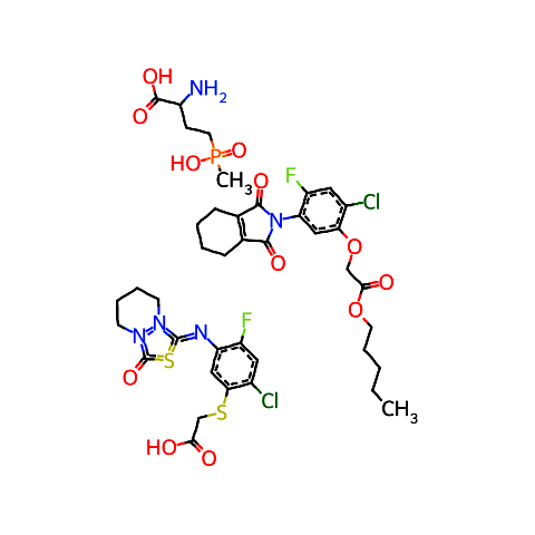 CCCCCOC(=O)COc1cc(N2C(=O)C3=C(CCCC3)C2=O)c(F)cc1Cl.CP(=O)(O)CCC(N)C(=O)O.O=C(O)CSc1cc(N=c2sc(=O)n3n2CCCC3)c(F)cc1Cl